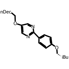 CCCCCCCCCCCOc1cnc(-c2ccc(OC[C@@H](C)CC)cc2)nc1